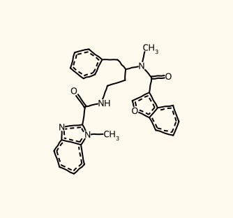 CN(C(=O)c1coc2ccccc12)C(CCNC(=O)c1nc2ccccc2n1C)Cc1ccccc1